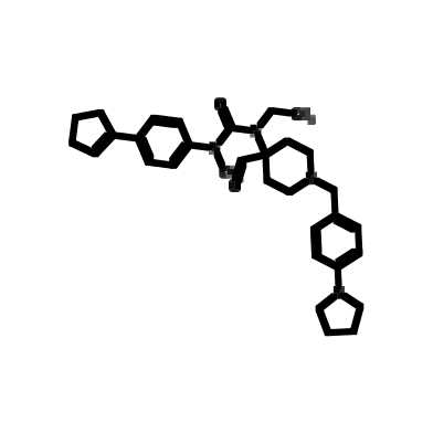 CCN(C(=O)N(C)c1ccc(C2=CCCC2)cc1)C1(C=O)CCN(Cc2ccc(N3CCCC3)cc2)CC1